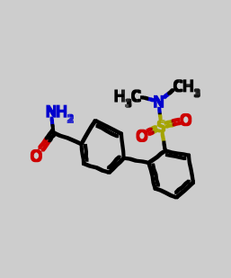 CN(C)S(=O)(=O)c1ccccc1-c1ccc(C(N)=O)cc1